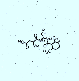 CC(NC(=O)C(N)CC(=O)O)NC(=O)C1C(C)CCCC1C